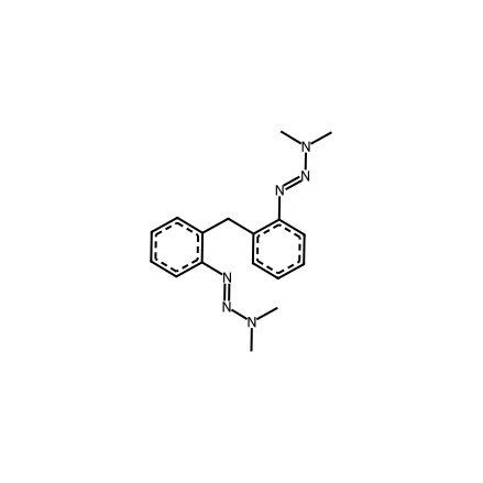 CN(C)N=Nc1ccccc1Cc1ccccc1N=NN(C)C